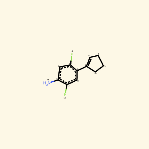 Nc1cc(F)c(C2=CCCC2)cc1F